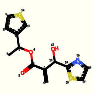 C=C(C(=O)OC(C)c1ccsc1)C(O)c1nccs1